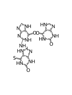 Nc1nc2nc[nH]c2c(=O)[nH]1.O=c1[nH]c(=O)c2[nH]cnc2[nH]1.O=c1[nH]c(=S)c2[nH]cnc2[nH]1